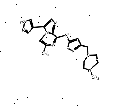 Cc1cn2c(-c3cn[nH]c3)cnc2c(Nc2cc(CN3CCN(C)CC3)ns2)n1